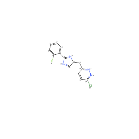 Fc1ccccc1C1=NC(Cc2ccc(Cl)nn2)C=N1